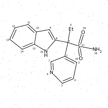 CCC(c1cccnc1)(c1cc2ccccc2[nH]1)S(N)(=O)=O